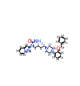 NC(=O)N(CCCCN1CCN(c2ccccc2OCc2ccccc2)CC1)c1cc2ccccn2n1